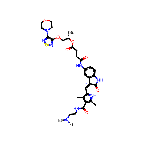 CCN(CC)CCNC(=O)c1c(C)[nH]c(/C=C2\C(=O)Nc3ccc(NC(=O)CCC(=O)O[C@H](COc4nsnc4N4CCOCC4)C(C)(C)C)cc32)c1C